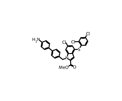 COC(=O)c1cc2c(Sc3ccc(Cl)cc3Cl)cc(Cl)cc2n1Cc1ccc(-c2ccc(N)cc2)cc1